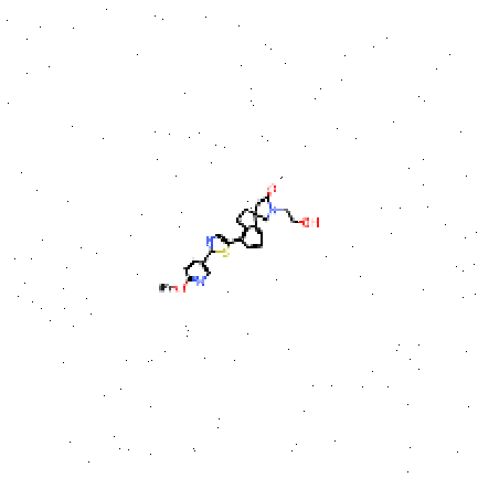 CC(C)Oc1ccc(-c2ncc(-c3cccc4c3CCC43CC(=O)N(CCO)C3)s2)cn1